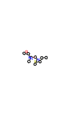 c1ccc(-c2cccc(-c3cccc4c3nc(-c3cccc(-c5cc(-c6ccc7oc8ccccc8c7c6)nc(-c6ccccc6)n5)c3)c3sc5ccccc5c34)c2)cc1